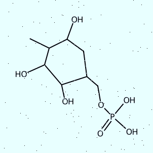 CC1C(O)CC(COP(=O)(O)O)C(O)C1O